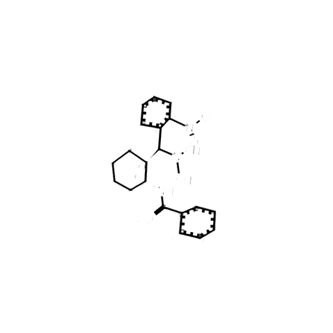 CN(C)C(c1ccccc1[N+](=O)[O-])[C@@H]1CCCC[C@H]1NC(=O)c1ccccc1